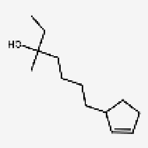 CCC(C)(O)CCCCC1C=CCC1